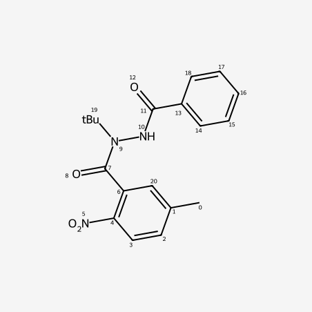 Cc1ccc([N+](=O)[O-])c(C(=O)N(NC(=O)c2ccccc2)C(C)(C)C)c1